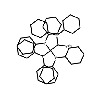 CCCCC(P(C1CCCCC1)C1CCCCC1)C(P(C1CCCCC1)C1CCCCC1)(P(C1CCCCC1)C1CCCCC1)P(C1CCCCC1)C1CCCCC1